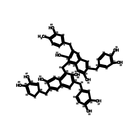 Cc1ccc(Cc2cc3cc(Cc4ccc(O)c(O)c4)c(O)cc3c(Cc3c(O)c(Cc4ccc(O)c(O)c4)cc4cc(CC5C=C(O)C(O)=CC5)c(O)cc34)c2O)cc1O